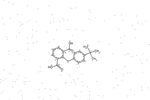 CC(C)(C)c1ccc(Cc2c(C(=O)O)cccc2C(=O)O)cc1